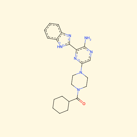 Nc1ncc(N2CCN(C(=O)C3CCCCC3)CC2)nc1-c1nc2ccccc2[nH]1